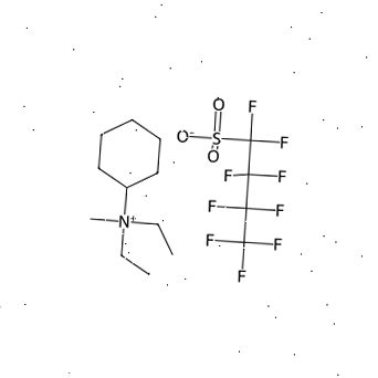 CC[N+](C)(CC)C1CCCCC1.O=S(=O)([O-])C(F)(F)C(F)(F)C(F)(F)C(F)(F)F